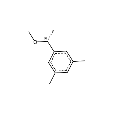 CO[C@H](C)c1cc(C)cc(C)c1